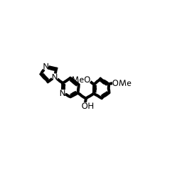 COc1ccc(C(O)c2ccc(-n3ccnc3)nc2)c(OC)c1